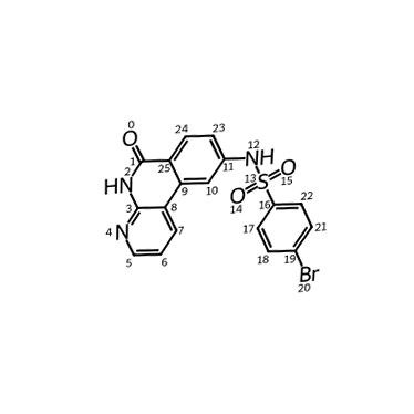 O=c1[nH]c2ncccc2c2cc(NS(=O)(=O)c3ccc(Br)cc3)ccc12